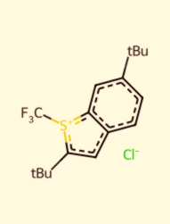 CC(C)(C)c1ccc2cc(C(C)(C)C)[s+](C(F)(F)F)c2c1.[Cl-]